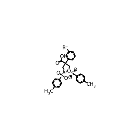 Cc1ccc(S(=O)(=O)OCC(COS(=O)(=O)c2ccc(C)cc2)(C(=O)O)c2cccc(Br)c2)cc1